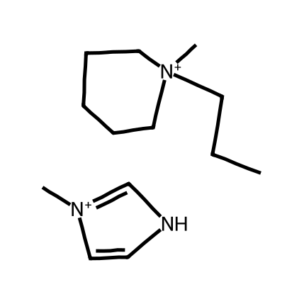 CCC[N+]1(C)CCCCC1.C[n+]1cc[nH]c1